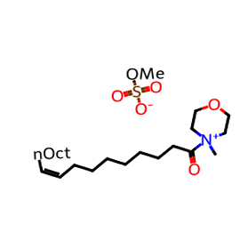 CCCCCCCC/C=C\CCCCCCCC(=O)[N+]1(C)CCOCC1.COS(=O)(=O)[O-]